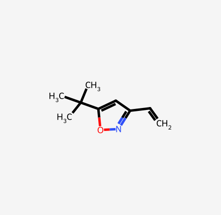 C=Cc1cc(C(C)(C)C)on1